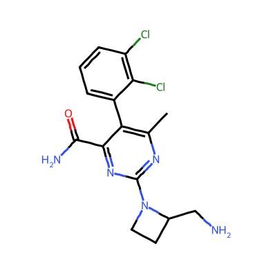 Cc1nc(N2CCC2CN)nc(C(N)=O)c1-c1cccc(Cl)c1Cl